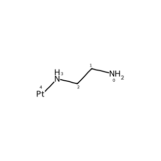 NCC[NH][Pt]